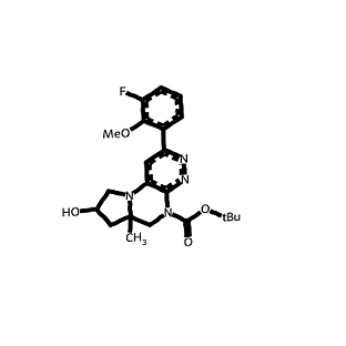 COc1c(F)cccc1-c1cc2c(nn1)N(C(=O)OC(C)(C)C)CC1(C)CC(O)CN21